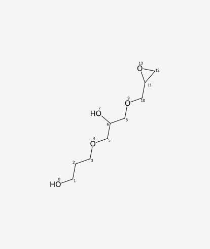 OCCCOCC(O)COCC1CO1